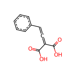 O=C(O)C(=C=Cc1ccccc1)C(=O)O